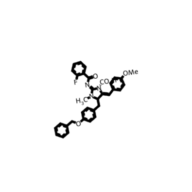 COc1ccc(/C=C2/C(Cc3ccc(OCc4ccccc4)cc3)N(C)/C(=N/C(=O)c3ccccc3F)N2C(=O)O)cc1